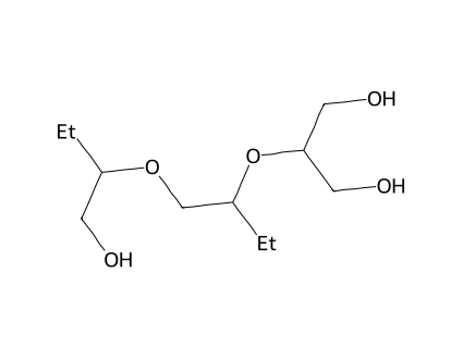 CCC(CO)OCC(CC)OC(CO)CO